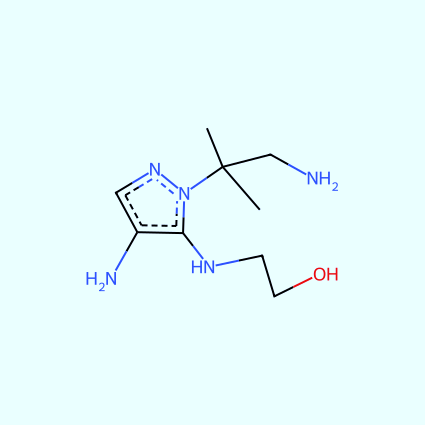 CC(C)(CN)n1ncc(N)c1NCCO